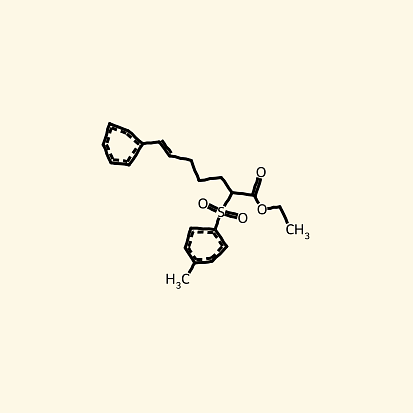 CCOC(=O)C(CCCC=Cc1ccccc1)S(=O)(=O)c1ccc(C)cc1